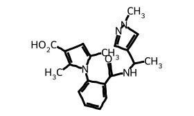 Cc1cc(C(=O)O)c(C)n1-c1ccccc1C(=O)NC(C)c1cnn(C)c1